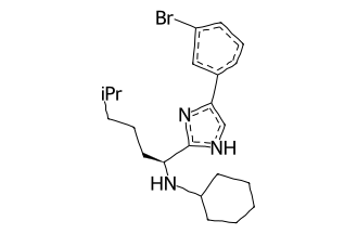 CC(C)CCC[C@H](NC1CCCCC1)c1nc(-c2cccc(Br)c2)c[nH]1